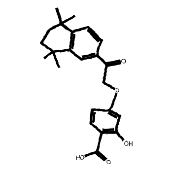 CC1(C)CCC(C)(C)c2cc(C(=O)COc3ccc(C(=O)O)c(O)c3)ccc21